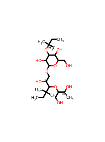 CCC(C)(C)OC1C(O)C(CO)OC(OC[C@H](O)C(OC(CO)[C@H](C)O)C(C)(C)CC)C1O